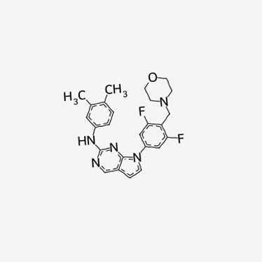 Cc1ccc(Nc2ncc3ccn(-c4cc(F)c(CN5CCOCC5)c(F)c4)c3n2)cc1C